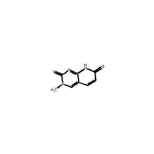 Cn1cc2ccc(=O)[nH]c2nc1=S